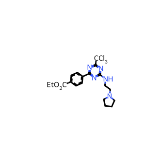 CCOC(=O)c1ccc(-c2nc(NCCN3CCCC3)nc(C(Cl)(Cl)Cl)n2)cc1